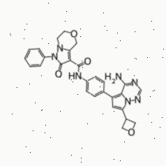 Nc1ncnn2c(C3COC3)cc(-c3ccc(NC(=O)c4c5n(n(-c6ccccc6)c4=O)CCOC5)cc3)c12